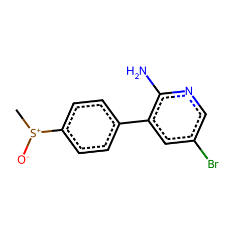 C[S+]([O-])c1ccc(-c2cc(Br)cnc2N)cc1